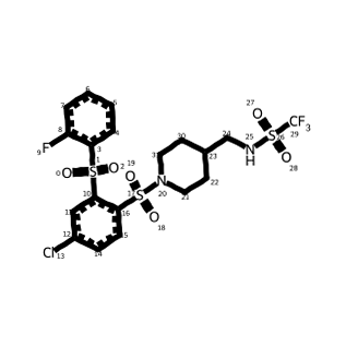 O=S(=O)(c1ccccc1F)c1cc(Cl)ccc1S(=O)(=O)N1CCC(CNS(=O)(=O)C(F)(F)F)CC1